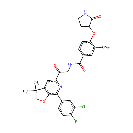 COc1cc(C(=O)NCC(=O)c2cc3c(c(-c4ccc(F)c(Cl)c4)n2)OCC3(C)C)ccc1OC1CCNC1=O